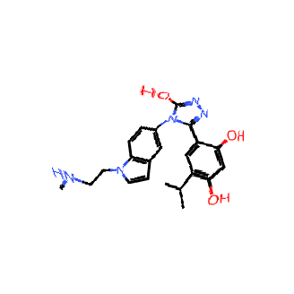 CNCCn1ccc2cc(-n3c(O)nnc3-c3cc(C(C)C)c(O)cc3O)ccc21